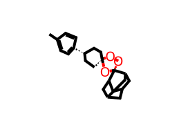 Cc1ccc([C@H]2CC[C@]3(CC2)OO[C@]2(O3)C3CC4CC(C3)CC2C4)cc1